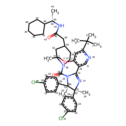 CCOc1cc(C(C)(C)C)ncc1C1=N[C@@](C)(c2ccc(Cl)cc2)[C@@](C)(c2ccc(Cl)cc2)N1C(=O)N1CCC(CC(=O)N[C@@H](C)C2CCCCC2)CC1